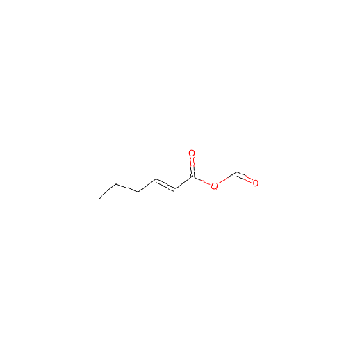 CCCC=CC(=O)OC=O